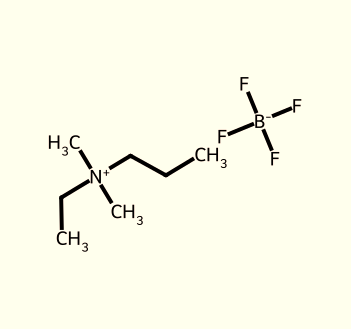 CCC[N+](C)(C)CC.F[B-](F)(F)F